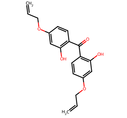 C=CCOc1ccc(C(=O)c2ccc(OCC=C)cc2O)c(O)c1